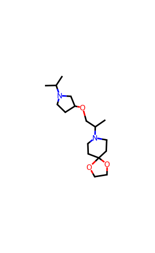 CC(C)N1CCC(OCC(C)N2CCC3(CC2)OCCO3)C1